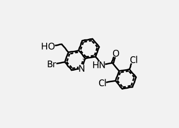 O=C(Nc1cccc2c(CO)c(Br)cnc12)c1c(Cl)cccc1Cl